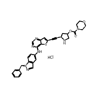 Cl.O=C(OC1CNC(C#Cc2cc3ncnc(Nc4ccc5c(cnn5Cc5ccccc5)c4)c3s2)C1)N1CCOCC1